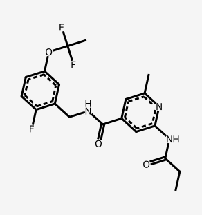 CCC(=O)Nc1cc(C(=O)NCc2cc(OC(C)(F)F)ccc2F)cc(C)n1